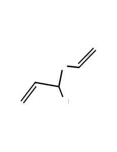 C=COC(O)C=C